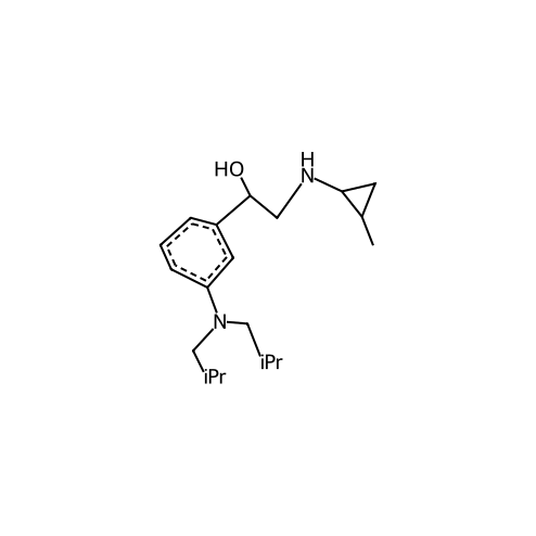 CC(C)CN(CC(C)C)c1cccc(C(O)CNC2CC2C)c1